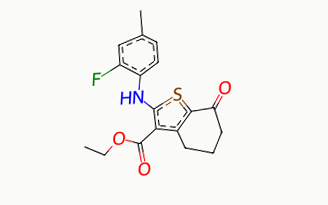 CCOC(=O)c1c(Nc2ccc(C)cc2F)sc2c1CCCC2=O